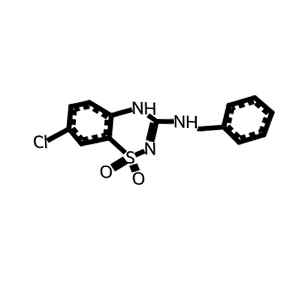 O=S1(=O)N=C(NCc2ccccc2)Nc2ccc(Cl)cc21